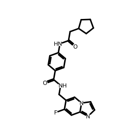 O=C(CC1CCCC1)Nc1ccc(C(=O)NCc2cn3ccnc3cc2F)cc1